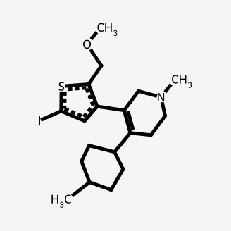 COCc1sc(I)cc1C1=C(C2CCC(C)CC2)CCN(C)C1